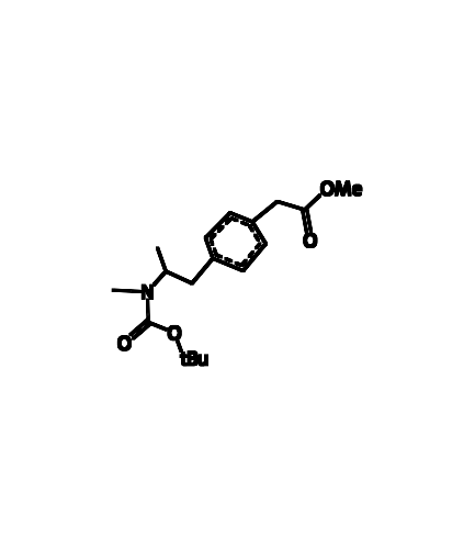 COC(=O)Cc1ccc(CC(C)N(C)C(=O)OC(C)(C)C)cc1